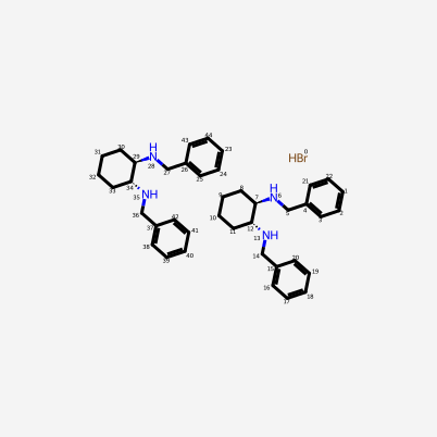 Br.c1ccc(CN[C@@H]2CCCC[C@H]2NCc2ccccc2)cc1.c1ccc(CN[C@@H]2CCCC[C@H]2NCc2ccccc2)cc1